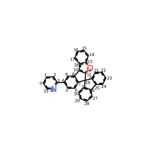 c1ccc(-c2ccc3c(c2)-c2c(oc4ccccc24)C32c3ccccc3-c3ccccc32)nc1